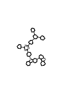 c1ccc(-c2cc(-c3ccccc3)cc(-c3ccc(-c4nc(-c5ccccc5)nc(-c5ccc(-n6c7ccccc7c7ccc(-c8cccc9sc%10ccccc%10c89)cc76)cc5)n4)cc3)c2)cc1